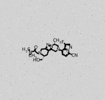 C[C@@H]1CN(c2ccc(C#N)n3ncc(F)c23)Cc2c3c(nn21)CN(CC(=O)N(C)C)[C@@H](CO)C3